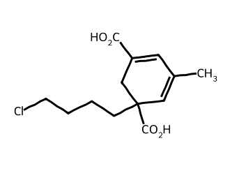 CC1=CC(CCCCCl)(C(=O)O)CC(C(=O)O)=C1